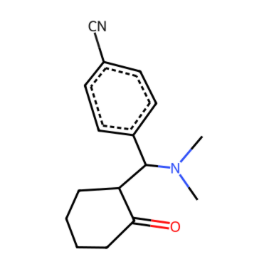 CN(C)C(c1ccc(C#N)cc1)C1CCCCC1=O